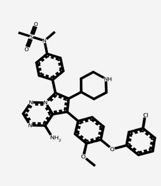 COc1cc(-c2c(C3CCNCC3)c(-c3ccc(N(C)S(C)(=O)=O)cc3)n3ncnc(N)c23)ccc1Oc1cccc(Cl)c1